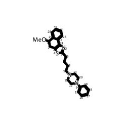 COC1Cc2sc(CCCCN3CCN(c4ccccc4)CC3)nc2-c2ccccc21